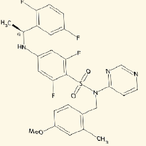 COc1ccc(CN(c2ccncn2)S(=O)(=O)c2c(F)cc(N[C@@H](C)c3cc(F)ccc3F)cc2F)c(C)c1